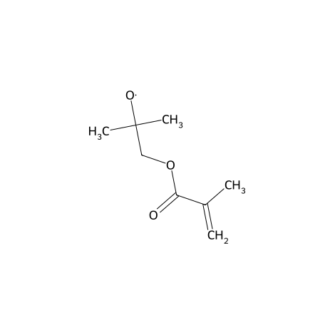 C=C(C)C(=O)OCC(C)(C)[O]